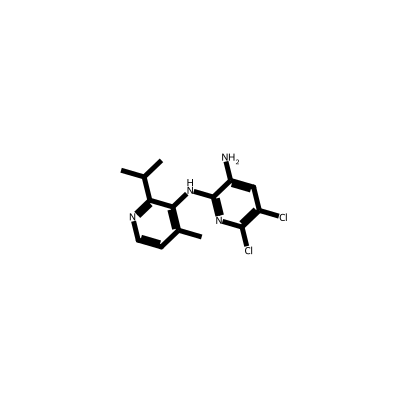 Cc1ccnc(C(C)C)c1Nc1nc(Cl)c(Cl)cc1N